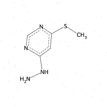 CSc1cc(NN)ncn1